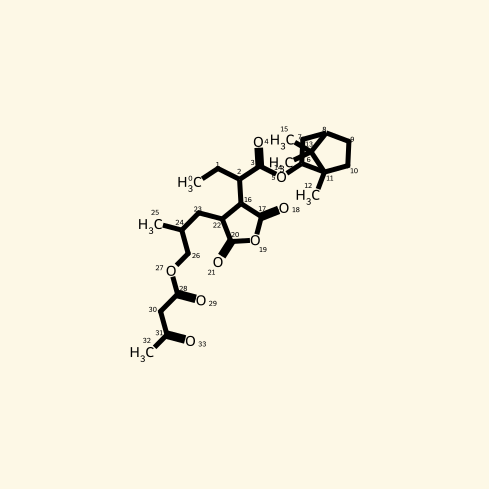 CCC(C(=O)OC1CC2CCC1(C)C2(C)C)C1C(=O)OC(=O)C1CC(C)COC(=O)CC(C)=O